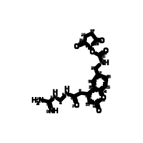 N=C(N)NCNC(=O)Cc1cc(=O)oc2ccc(CNC(=O)ON3C(=O)CCC3=O)cc12